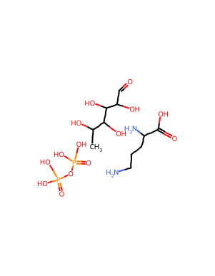 CC(O)C(O)C(O)C(O)C=O.NCCCC(N)C(=O)O.O=P(O)(O)OP(=O)(O)O